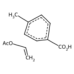 C=COC(C)=O.Cc1ccc(C(=O)O)cc1